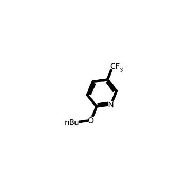 CCCCOc1ccc(C(F)(F)F)cn1